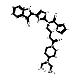 CCN(CC)C1CCN(C(=O)CCCN(C(=O)c2cccs2)c2nc(C3Oc4ccccc4C3=O)cs2)CC1